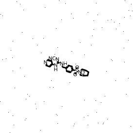 N#CN=C(NCc1ccc(S(=O)(=O)N2CC3CCC(C2)O3)cc1)Nc1ccncc1